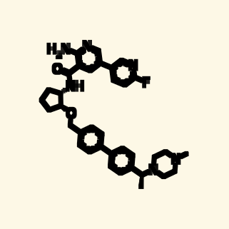 C[C@@H](c1ccc(-c2ccc(CO[C@H]3CCC[C@@H]3NC(=O)c3cc(-c4ccc(F)nc4)cnc3N)cc2)cc1)N1CCN(C)CC1